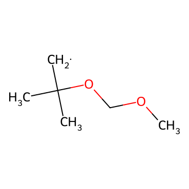 [CH2]C(C)(C)OCOC